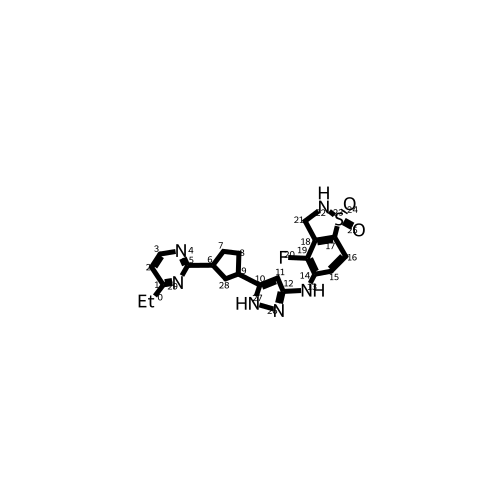 CCc1ccnc(C2CCC(c3cc(Nc4ccc5c(c4F)CNS5(=O)=O)n[nH]3)C2)n1